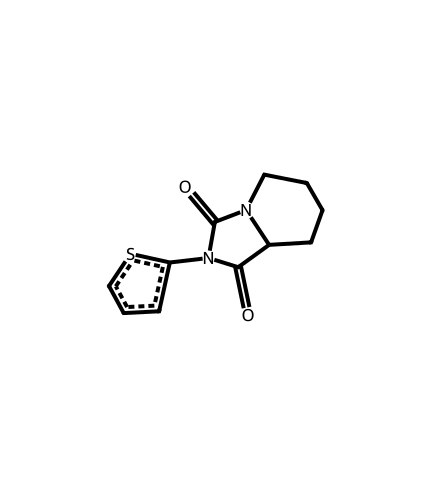 O=C1C2CCCCN2C(=O)N1c1cccs1